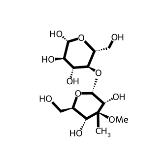 CO[C@@]1(C)[C@H](O)[C@@H](CO)O[C@H](O[C@H]2[C@H](O)[C@@H](O)[C@H](O)O[C@@H]2CO)[C@@H]1O